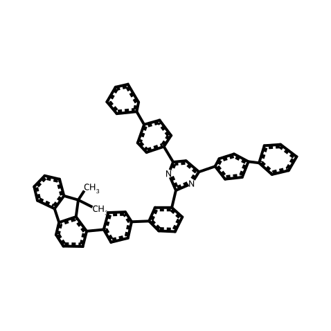 CC1(C)c2ccccc2-c2cccc(-c3ccc(-c4cccc(-c5nc(-c6ccc(-c7ccccc7)cc6)cc(-c6ccc(-c7ccccc7)cc6)n5)c4)cc3)c21